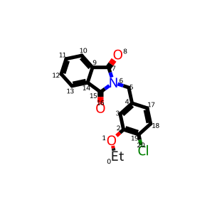 CCOc1cc(CN2C(=O)c3ccccc3C2=O)ccc1Cl